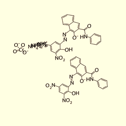 O=C(Nc1ccccc1)c1cc2ccccc2c(N=Nc2cc([N+](=O)[O-])cc([N+](=O)[O-])c2O)c1[O-].O=C(Nc1ccccc1)c1cc2ccccc2c(N=Nc2cc([N+](=O)[O-])cc([N+](=O)[O-])c2O)c1[O-].[NH4+].[NH4+].[NH4+].[NH4+].[O]=[Cr](=[O])([O-])[O-]